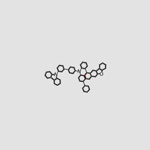 c1ccc(-c2ccc(N(c3ccc(-c4cccc(-n5c6ccccc6c6ccccc65)c4)cc3)c3ccccc3-c3cccc4cc5oc6ccccc6c5cc34)cc2)cc1